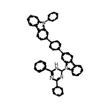 c1ccc(C2=NC(n3c4ccccc4c4ccc(-c5ccc(-c6ccc7c8ccccc8n(-c8ccccc8)c7c6)cc5)cc43)NC(c3ccccc3)=N2)cc1